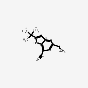 CCc1cc(C#N)c2[nH]c(C(C)(C)C)cc2c1